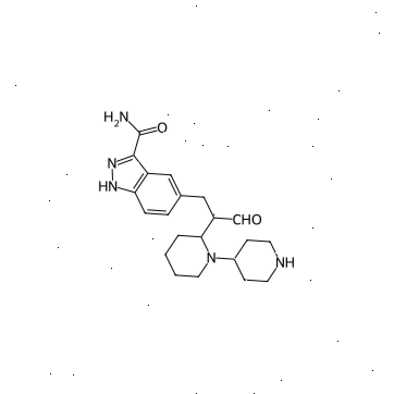 NC(=O)c1n[nH]c2ccc(C[C](C=O)C3CCCCN3C3CCNCC3)cc12